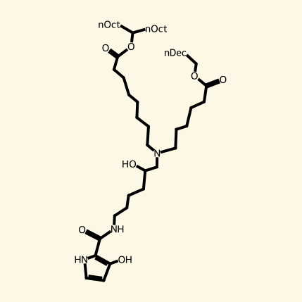 CCCCCCCCCCCOC(=O)CCCCCN(CCCCCCCC(=O)OC(CCCCCCCC)CCCCCCCC)CC(O)CCCCNC(=O)c1[nH]ccc1O